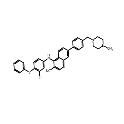 CN1CCN(Cc2ccc(-c3ccc4c(Nc5ccc(Sc6ccccc6)c(Cl)c5)c(C#N)cnc4c3)cc2)CC1